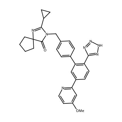 COc1ccnc(-c2ccc(-c3nn[nH]n3)c(-c3ccc(CN4C(=O)C5(CCCC5)N=C4C4CC4)cc3)c2)c1